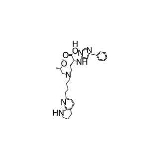 CO[C@H](C)CN(CCCCc1ccc2c(n1)NCCC2)CC[C@H](Nc1cc(-c2ccccc2)ncn1)C(=O)O